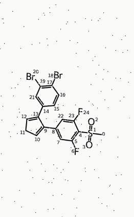 CS(=O)(=O)c1c(F)cc(C2=CCC=C2c2ccc(Br)c(Br)c2)cc1F